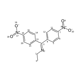 CCN=C(c1ccc([N+](=O)[O-])cc1)c1ccc([N+](=O)[O-])cc1